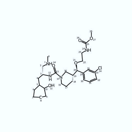 CNC[C@@H](CC1CCCCC1O)NC(=O)N1CCC[C@@H]([C@@H](OCCNC(=O)OC)c2cccc(Cl)c2)C1